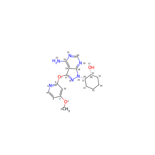 COc1ccnc(Oc2nn([C@H]3CCCC[C@H]3O)c3ncnc(N)c23)c1